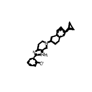 Clc1ccccc1-c1nc2c([nH]1)CN(C1CCc3cc(C4CC4)ccc3C1)CC2